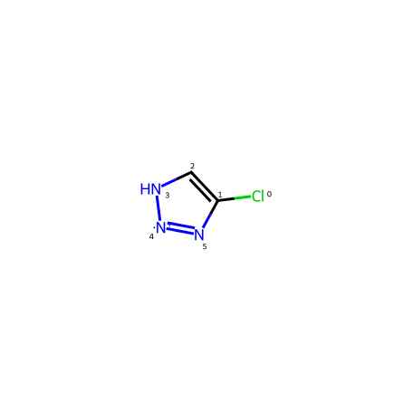 ClC1=CN[N+]=N1